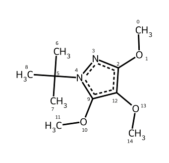 COc1nn(C(C)(C)C)c(OC)c1OC